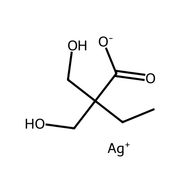 CCC(CO)(CO)C(=O)[O-].[Ag+]